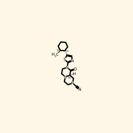 C[C@H]1CCCC[C@@H]1c1cnc(N2CCN3CCN(C#N)C[C@@H]3C2=O)s1